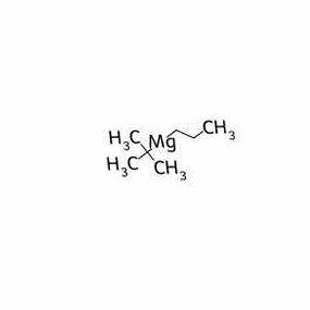 CC[CH2][Mg][C](C)(C)C